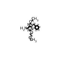 CCOc1nc2c(N)nc(OCCOC)nc2n1Cc1ccccc1